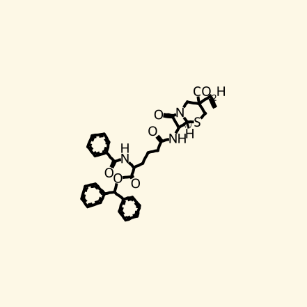 C=CC1(C(=O)O)CS[C@@H]2C(NC(=O)CCCC(NC(=O)c3ccccc3)C(=O)OC(c3ccccc3)c3ccccc3)C(=O)N2C1